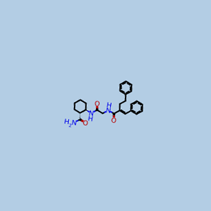 NC(=O)[C@@H]1CCCC[C@H]1NC(=O)CNC(=O)/C(=C/c1ccccc1)CCc1ccccc1